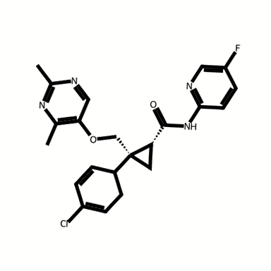 Cc1ncc(OC[C@@]2(C3C=CC(Cl)=CC3)C[C@H]2C(=O)Nc2ccc(F)cn2)c(C)n1